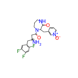 N[C@@H](CC(=O)N1CCCNC(=O)C1Cc1ccc[n+]([O-])c1)Cc1cc(F)c(F)cc1F